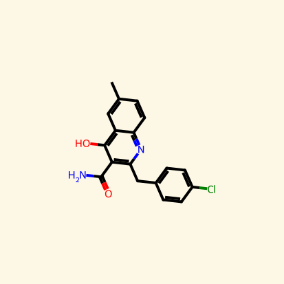 Cc1ccc2nc(Cc3ccc(Cl)cc3)c(C(N)=O)c(O)c2c1